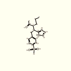 CCC[C@H](C(C)=O)[C@H](Cc1cnc(S(C)(=O)=O)nc1)c1nnn[nH]1